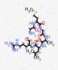 CSCCC(NC(=O)CN)C(=O)NCC(=O)NC(C)C(=O)NC(CC(C)C)C(=O)NC([C]=O)CCCNC(=N)N